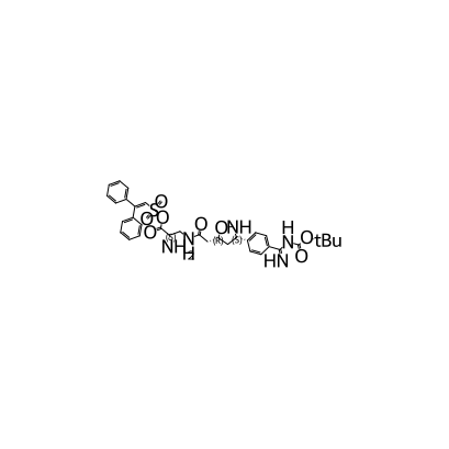 CC(C)(C)OC(=O)NC(=N)c1ccc([C@@H]2C[C@H](CC(=O)NC[C@H](N)C(=O)OS(=O)(=O)C=C(c3ccccc3)c3ccccc3)ON2)cc1